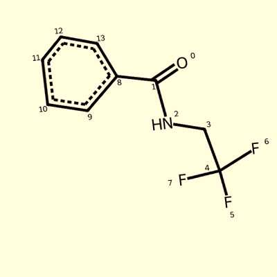 O=C(NCC(F)(F)F)c1ccccc1